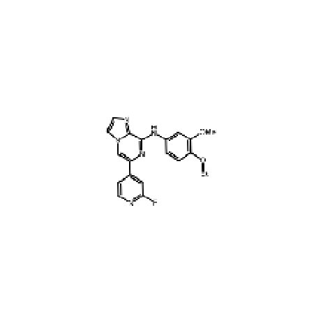 CCOc1ccc(Nc2nc(-c3ccnc(F)c3)cn3ccnc23)cc1OC